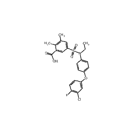 CCN(c1ccc(Oc2ccc(F)c(Cl)c2)cc1)S(=O)(=O)c1cc(C)c(C)c(C(=O)O)c1